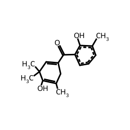 CC1=C(O)C(C)(C)C=C(C(=O)c2cccc(C)c2O)C1